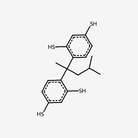 CC(C)CC(C)(c1ccc(S)cc1S)c1ccc(S)cc1S